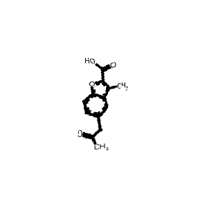 CC(=O)Cc1ccc2oc(C(=O)O)c(C)c2c1